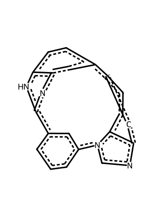 c1cc2cc(c1)n1cnc3cc(ccc31)c1ccc3[nH]c2nc3c1